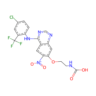 O=C(O)NCCOc1cc2ncnc(Nc3ccc(Cl)cc3C(F)(F)F)c2cc1[N+](=O)[O-]